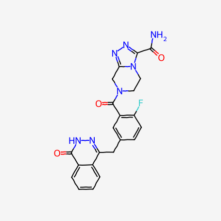 NC(=O)c1nnc2n1CCN(C(=O)c1cc(Cc3n[nH]c(=O)c4ccccc34)ccc1F)C2